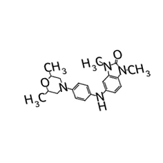 CC1CN(c2ccc(Nc3ccc4c(c3)n(C)c(=O)n4C)cc2)CC(C)O1